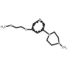 CSCCOc1cncc(N2CCN(C)CC2)c1